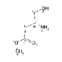 COC(=O)C[C@@H](N)CO